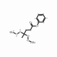 CC(C)(C)OOC(C)(CCC(=O)Oc1ccccc1)OOC(C)(C)C